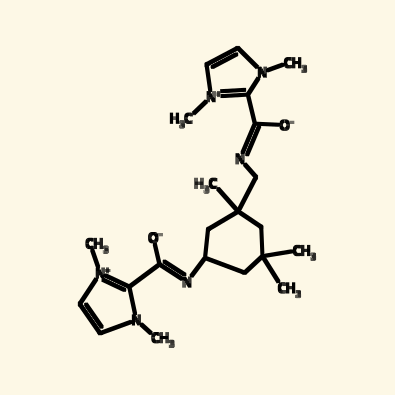 Cn1cc[n+](C)c1/C([O-])=N/CC1(C)CC(/N=C(\[O-])c2n(C)cc[n+]2C)CC(C)(C)C1